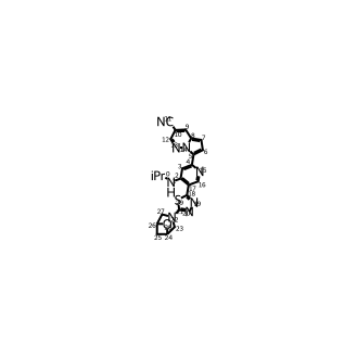 CC(C)Nc1cc(-c2ccc3cc(C#N)cnn23)ncc1-c1nnc(N2CC3CC(C2)O3)s1